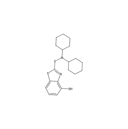 Sc1cccc2sc(SN(C3CCCCC3)C3CCCCC3)nc12